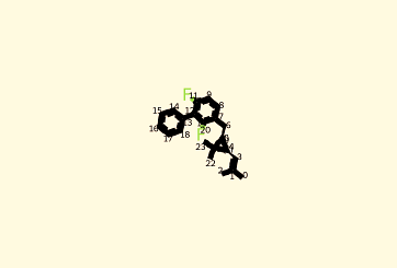 CC(C)=C[C@@H]1[C@H](Cc2ccc(F)c(-c3ccccc3)c2F)C1(C)C